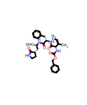 C/C=C(/C)[C@H](NC(=O)OCc1ccccc1)C(=O)N[C@@H](Cc1ccccc1)C(=O)N[C@H](C=O)C[C@@H]1CCNC1=O